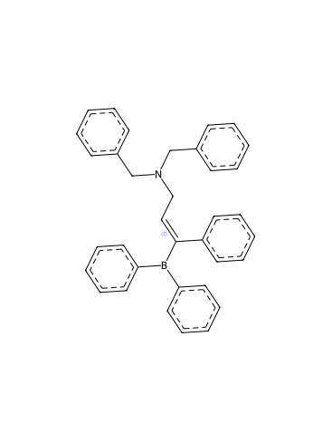 C(/CN(Cc1ccccc1)Cc1ccccc1)=C(\B(c1ccccc1)c1ccccc1)c1ccccc1